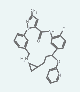 NCc1cccc(-n2nc(C(F)(F)F)cc2C(=O)Nc2cc(C(CCC3CC3)Oc3ccccn3)ccc2F)c1